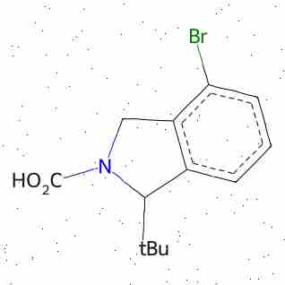 CC(C)(C)C1c2cccc(Br)c2CN1C(=O)O